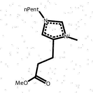 CCCCCn1cc(CCC(=O)OC)[n+](C)c1